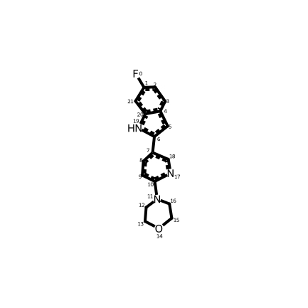 Fc1ccc2cc(-c3ccc(N4CCOCC4)nc3)[nH]c2c1